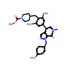 COc1ccc(Cn2ncc3c(-c4cc(OC)c(CC5CCN(C(=O)OC(C)(C)C)CC5)c(OC)c4)cn(C)c(=O)c32)cc1